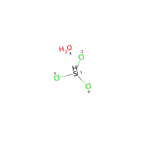 Cl[SiH](Cl)Cl.O